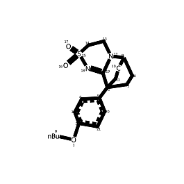 CCCCOc1ccc(C23CCC(CC2)N2CCS(=O)(=O)N=C23)cc1